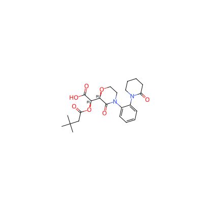 CC(C)(C)CC(=O)O[C@@H](C(=O)O)[C@H]1OCCN(c2ccccc2N2CCCCC2=O)C1=O